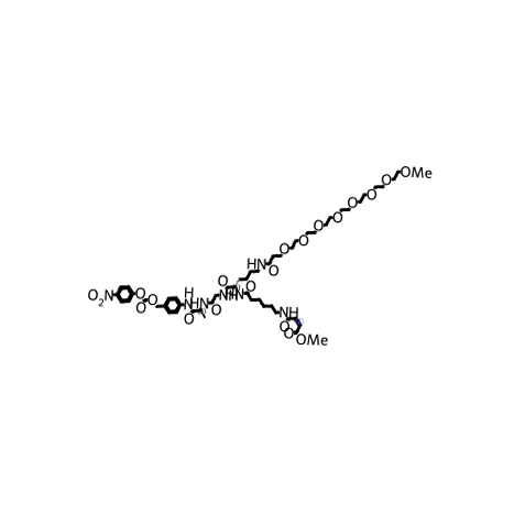 COCCOCCOCCOCCOCCOCCOCCOCCC(=O)NCCCC[C@H](NC(=O)CCCCCNC(=O)/C=C\C(=O)OC)C(=O)NCC(=O)N[C@@H](C)C(=O)Nc1ccc(COC(=O)Oc2ccc([N+](=O)[O-])cc2)cc1